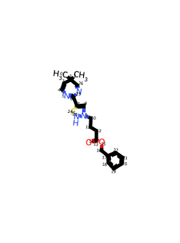 CC1(C)C=CN=C(C2=CN(CCCC(=O)OCc3ccccc3)NS2)N=C1